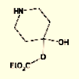 CCOC(=O)OC1(O)CCNCC1